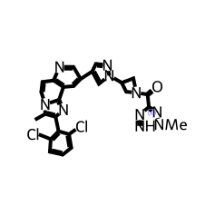 CN/N=C(\N=N)C(=O)N1CC(n2cc(-c3cnc4ccn5c(C)c(-c6c(Cl)cccc6Cl)nc5c4c3)cn2)C1